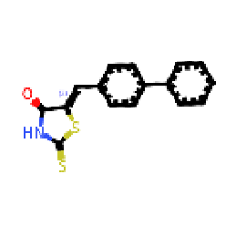 O=C1NC(=S)S/C1=C\c1ccc(-c2ccccc2)cc1